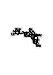 CC(=O)OC1CC[C@@]2(C)[C@@H](C1)CC(OC(C)=O)[C@@H]1[C@@H]2CC(OC(C)=O)[C@]2(C)[C@@H]([C@H](C)CCC(=O)OCC(=O)OC(C(F)(F)F)C(F)(F)S(=O)(=O)O)CC[C@@H]12